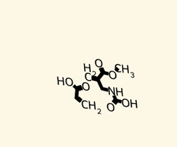 C=C(CNC(=O)O)C(=O)OC.C=CC(=O)O